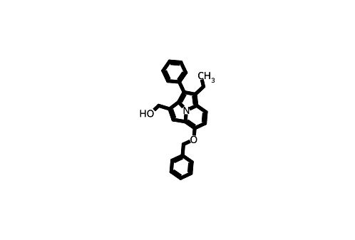 CCc1c(-c2ccccc2)c2c(CO)cc3c(OCc4ccccc4)ccc1n32